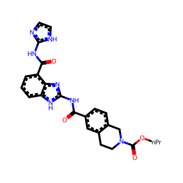 CCCOC(=O)N1CCc2cc(C(=O)Nc3nc4c(C(=O)Nc5ncc[nH]5)cccc4[nH]3)ccc2C1